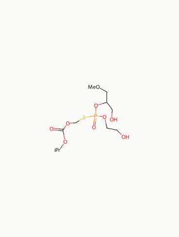 COCC(CO)OP(=O)(OCCO)SCOC(=O)OC(C)C